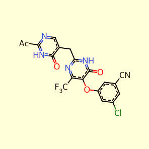 CC(=O)c1ncc(Cc2nc(C(F)(F)F)c(Oc3cc(Cl)cc(C#N)c3)c(=O)[nH]2)c(=O)[nH]1